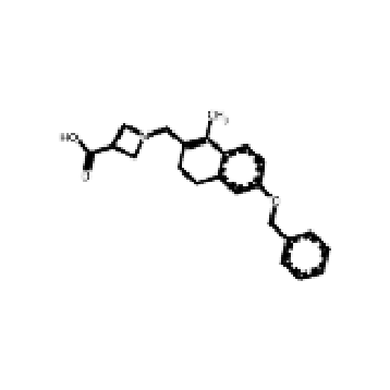 CC1=C(CN2CC(C(=O)O)C2)CCc2cc(OCc3ccccc3)ccc21